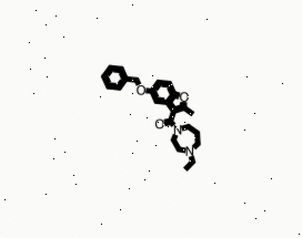 CCN1CCCN(C(=O)c2c(C)oc3ccc(OCc4ccccc4)cc23)CC1